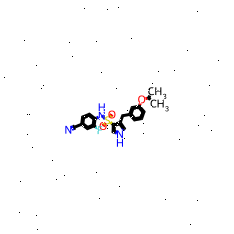 CC(C)Oc1cccc(Cc2c[nH]cc2S(=O)(=O)Nc2ccc(C#N)cc2F)c1